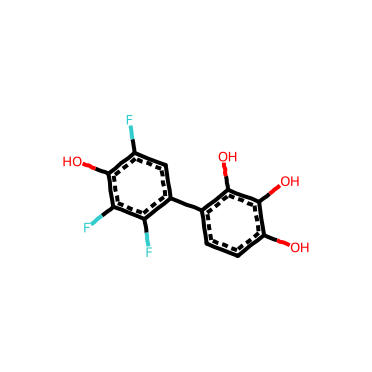 Oc1ccc(-c2cc(F)c(O)c(F)c2F)c(O)c1O